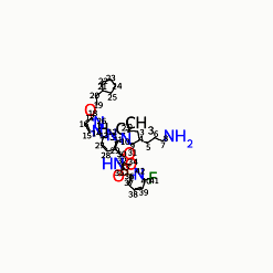 CC1(C)C[C@@H](CCCN)CN1c1nc(-n2ccc(OCCC3CCCC3)n2)ccc1C(=O)NS(=O)(=O)c1cccc(F)n1